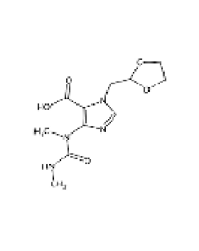 CNC(=O)N(C)c1ncn(CC2OCCO2)c1C(=O)O